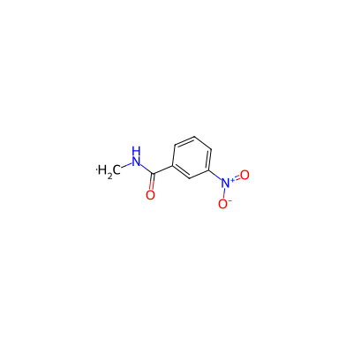 [CH2]NC(=O)c1cccc([N+](=O)[O-])c1